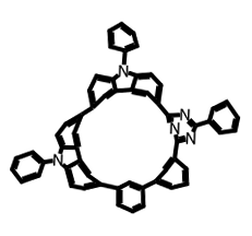 c1ccc(-c2nc3nc(n2)c2ccc4c(c2)c2cc(ccc2n4-c2ccccc2)c2ccc4c(c2)c2cc(ccc2n4-c2ccccc2)c2cccc(c2)c2cccc3c2)cc1